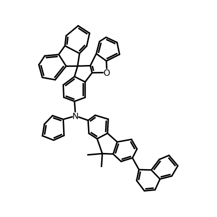 CC1(C)c2cc(-c3cccc4ccccc34)ccc2-c2ccc(N(c3ccccc3)c3ccc4c(c3)-c3oc5ccccc5c3C43c4ccccc4-c4ccccc43)cc21